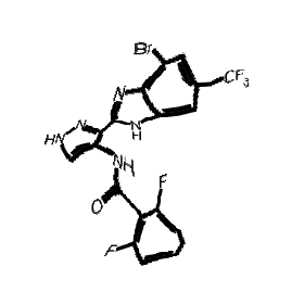 O=C(Nc1c[nH]nc1-c1nc2c(Br)cc(C(F)(F)F)cc2[nH]1)c1c(F)cccc1F